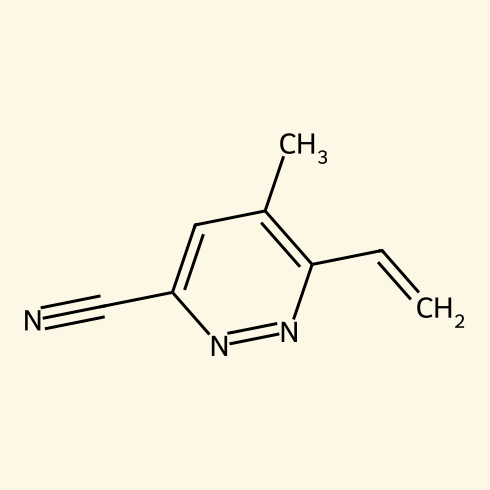 C=Cc1nnc(C#N)cc1C